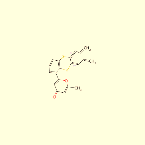 C=C/C=C1/Sc2cccc(-c3cc(=O)cc(C)o3)c2S/C1=C/C=C